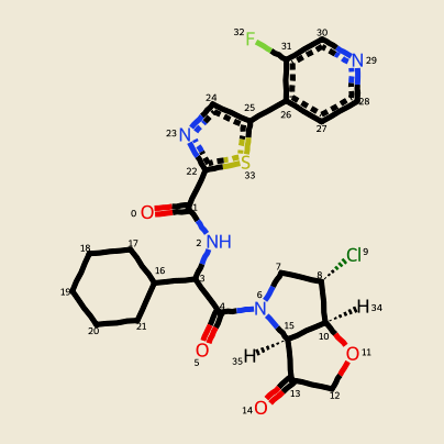 O=C(NC(C(=O)N1C[C@H](Cl)[C@H]2OCC(=O)[C@H]21)C1CCCCC1)c1ncc(-c2ccncc2F)s1